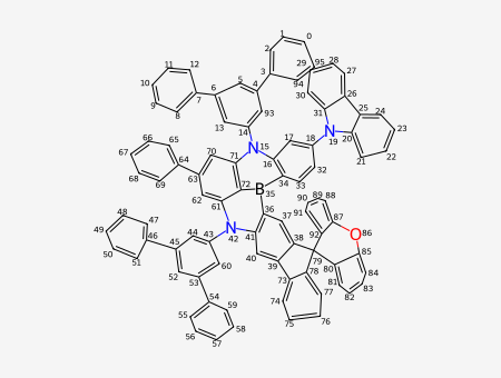 c1ccc(-c2cc(-c3ccccc3)cc(N3c4cc(-n5c6ccccc6c6ccccc65)ccc4B4c5cc6c(cc5N(c5cc(-c7ccccc7)cc(-c7ccccc7)c5)c5cc(-c7ccccc7)cc3c54)-c3ccccc3C63c4ccccc4Oc4ccccc43)c2)cc1